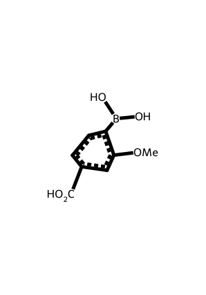 COc1cc(C(=O)O)ccc1B(O)O